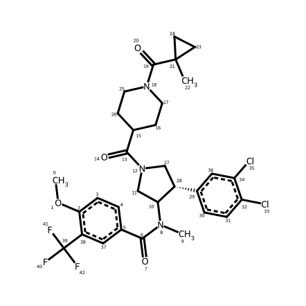 COc1ccc(C(=O)N(C)C2CN(C(=O)C3CCN(C(=O)C4(C)CC4)CC3)C[C@@H]2c2ccc(Cl)c(Cl)c2)cc1C(F)(F)F